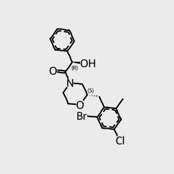 Cc1cc(Cl)cc(Br)c1C[C@H]1CN(C(=O)[C@H](O)c2ccccc2)CCO1